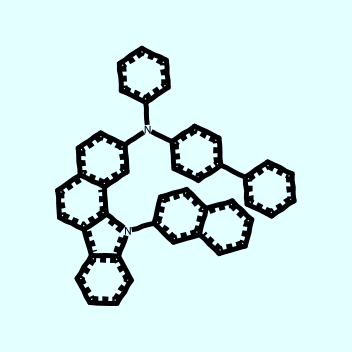 c1ccc(-c2ccc(N(c3ccccc3)c3ccc4ccc5c6ccccc6n(-c6ccc7ccccc7c6)c5c4c3)cc2)cc1